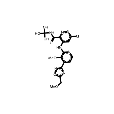 COCc1nc(-c2ccnc(Nc3cc(Cl)nnc3C(=O)NC(O)(O)O)c2OC)no1